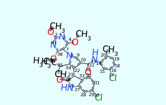 COc1nc(OC)c(-n2cc(C(=O)Nc3cc(Cl)ccc3C)c(C3C(=O)Nc4cc(Cl)ccc43)c2C(C)C)c(OC)n1